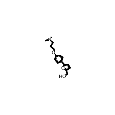 CN(C)CCCOc1ccc(-c2ccc(CO)o2)cc1